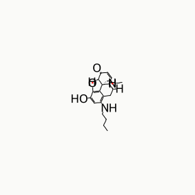 CCCCNc1cc(O)c2c3c1C[C@@H]1[C@@H]4C=CC(=O)[C@H](O2)[C@]34CCN1C